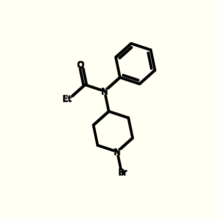 CCC(=O)N(c1ccccc1)C1CCN(Br)CC1